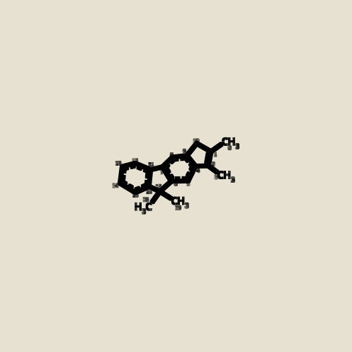 CC1=C(C)c2cc3c(cc2C1)-c1ccccc1C3(C)C